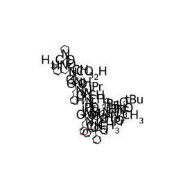 CC(C)C[C@@H](C(=O)N(C)[C@H](C(=O)N[C@@H](Cc1ccccc1)C(=O)N[C@@H](CC(=O)O)C(=O)N(C)[C@@H](Cc1ccccc1)C(=O)N[C@@H](C)C(=O)N1CCCCC1)C(C)C)N(C)C(=O)CNC(=O)[C@H](Cc1ccccc1)N(C)C(=O)[C@@H](NC(=O)[C@H](CC(C)C)N(C)C(=O)[C@@H](NC(=O)[C@H](C)NC(=O)OC(C)(C)C)C(C)C)[C@@H](C)OC(c1ccccc1)(c1ccccc1)c1ccccc1